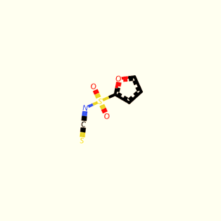 O=S(=O)(N=C=S)c1ccco1